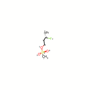 CCC[C@H](F)CCOS(C)(=O)=O